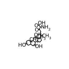 C[C@H](CCC(=O)C(N)C(=O)O)[C@H]1CCC2C3C(C[C@H](O)[C@@]21C)[C@@]1(C)CC[C@@H](O)CC1C[C@H]3O